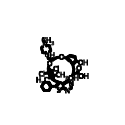 Cc1c(Cl)c2c(Cl)c(C)c1-c1c(C3=CCCCC3)sc3ncnc(c13)O[C@@H](C(=O)O)Cc1cc(ccc1O)OC[C@@H](CN1CCN(C)CC1)O2